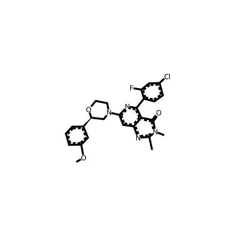 COc1cccc([C@@H]2CN(c3cc4nc(C)n(C)c(=O)c4c(-c4ccc(Cl)cc4F)n3)CCO2)c1